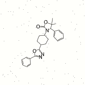 CC1(C)OC(=O)N(C2CCC(c3nnc(-c4ccccc4)o3)CC2)C1c1ccccc1